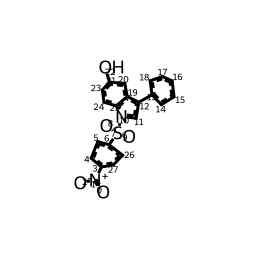 O=[N+]([O-])c1ccc(S(=O)(=O)n2cc(-c3ccccc3)c3cc(O)ccc32)cc1